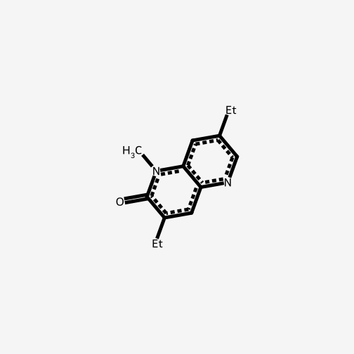 CCc1cnc2cc(CC)c(=O)n(C)c2c1